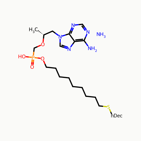 CCCCCCCCCCSCCCCCCCCCOP(=O)(O)CO[C@H](C)Cn1cnc2c(N)ncnc21.N